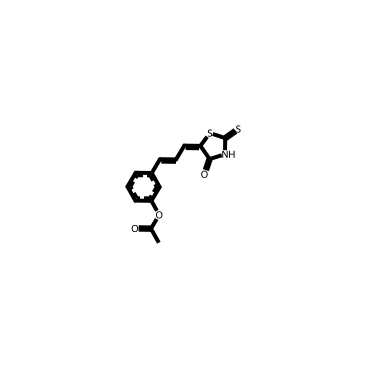 CC(=O)Oc1cccc(C=CC=C2SC(=S)NC2=O)c1